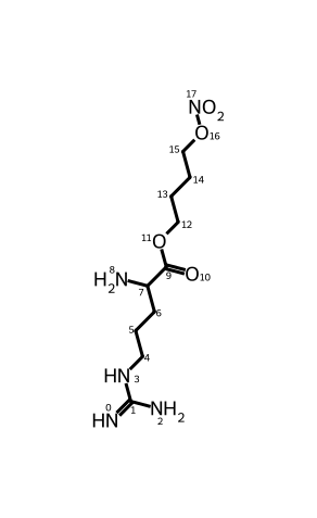 N=C(N)NCCCC(N)C(=O)OCCCCO[N+](=O)[O-]